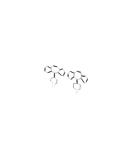 CN1CCC(=C2c3ccccc3C=Cc3ccccc32)CC1.CN1CCC(=C2c3ccccc3C=Cc3ccccc32)CC1